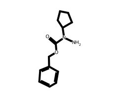 NN(C(=O)OCc1ccccc1)C1CCCC1